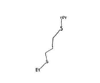 [CH2]CCSCCCSC[CH2]